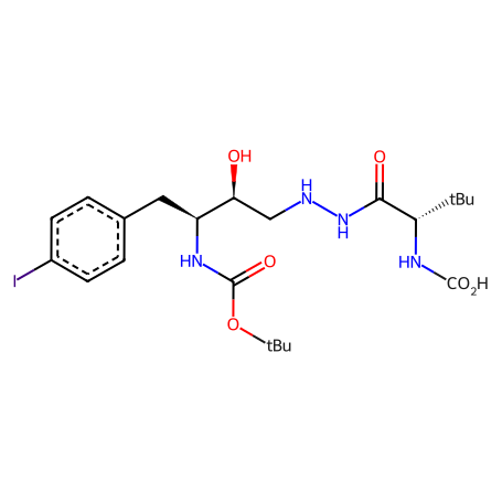 CC(C)(C)OC(=O)N[C@@H](Cc1ccc(I)cc1)[C@@H](O)CNNC(=O)[C@@H](NC(=O)O)C(C)(C)C